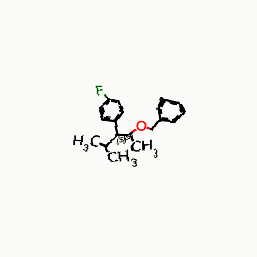 CC(C)[C@@H](c1ccc(F)cc1)[C@H](C)OCc1ccccc1